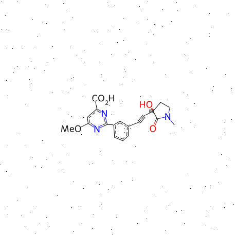 COc1cc(C(=O)O)nc(-c2cccc(C#C[C@]3(O)CCN(C)C3=O)c2)n1